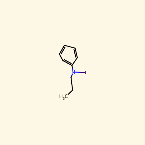 CCCN(I)c1ccccc1